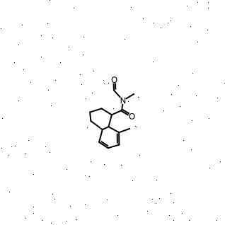 CC1=CC=CC2CCCC(C(=O)N(C)C=O)C12